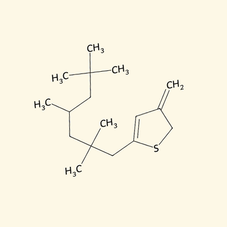 C=C1C=C(CC(C)(C)CC(C)CC(C)(C)C)SC1